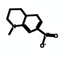 CN1CCCC2CC=C([N+](=O)[O-])C=C21